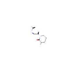 C=C(C)/N=C\C(=C)N1CCCC(N)C1=O